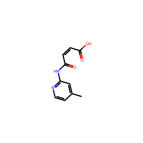 Cc1ccnc(NC(=O)/C=C\C(=O)O)c1